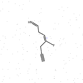 C#CC/C(F)=C\CC=N